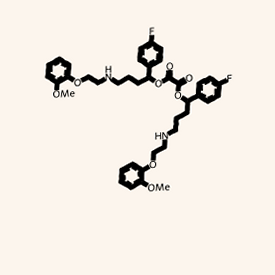 COc1ccccc1OCCNCCCC(OC(=O)C(=O)OC(CCCNCCOc1ccccc1OC)c1ccc(F)cc1)c1ccc(F)cc1